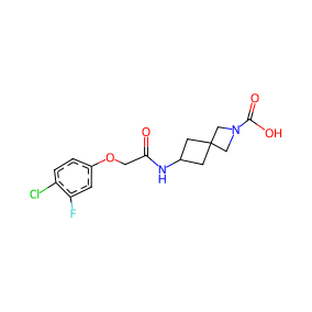 O=C(COc1ccc(Cl)c(F)c1)NC1CC2(C1)CN(C(=O)O)C2